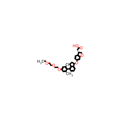 CCOCCOCCOc1cc(C)c(-c2cccc3c2CC[C@H]3Oc2ccc3c(c2)OC[C@H]3CC(=O)O)c(C)c1